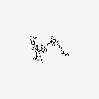 CC(=O)OCc1ccc(NC(=O)[C@H](CCCNC(N)=O)NC(=O)[C@@H](NC(=O)CCCCCN2C(=O)CC(SCCCSCCC(=O)C(C)C)C2=O)C(C)C)cc1